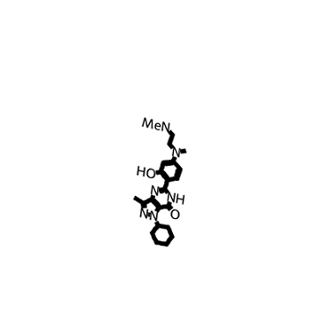 CNCCN(C)c1ccc(-c2nc3c(C)nn(C4CCCCC4)c3c(=O)[nH]2)c(O)c1